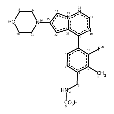 Cc1c(CNC(=O)O)ccc(-c2ncnn3cc(N4CCOCC4)cc23)c1F